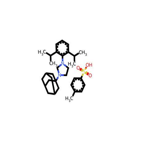 CC(C)c1cccc(C(C)C)c1N1CCN(C23CC4CC(CC(C4)C2)C3)C1.Cc1ccc(S(=O)(=O)O)cc1